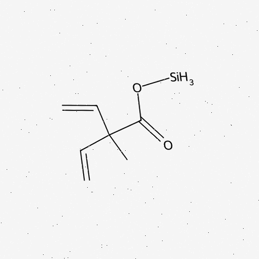 C=CC(C)(C=C)C(=O)O[SiH3]